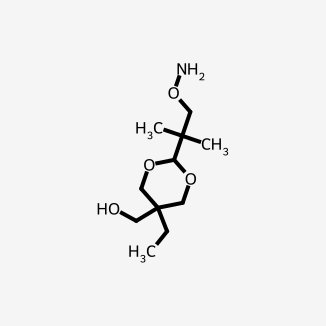 CCC1(CO)COC(C(C)(C)CON)OC1